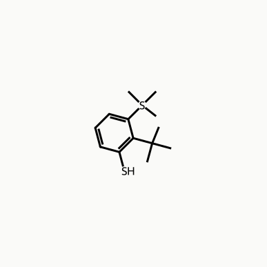 CC(C)(C)c1c(S)cccc1S(C)(C)C